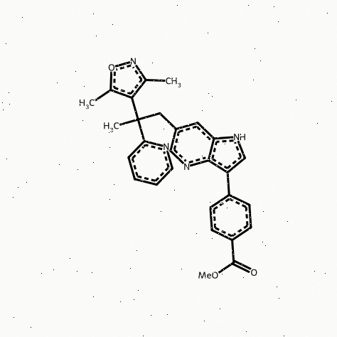 COC(=O)c1ccc(-c2c[nH]c3cc(CC(C)(c4ccccn4)c4c(C)noc4C)cnc23)cc1